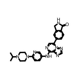 CC(C)N1CCN(c2ccc(Nc3ncc(-c4ccc5c(c4)CNC5=O)n4ncnc34)cn2)CC1